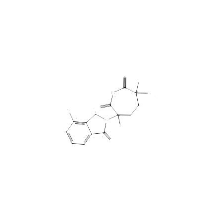 BC1(B)CCC(B)(N2Cc3c(N)cccc3C2=O)C(=O)NC1=O